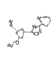 C=CCOc1cc(C#N)cc(-c2nc(-c3ccccn3)no2)c1